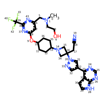 CN(CCO)Cc1cc(OC2CCC(N3CC(CC#N)(n4cc(-c5ncnc6[nH]ccc56)cn4)C3)CC2)nc(C(F)(F)F)n1